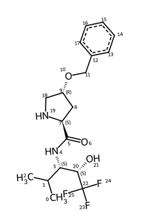 CC(C)[C@H](NC(=O)[C@@H]1C[C@@H](OCc2ccccc2)CN1)[C@H](O)C(F)(F)F